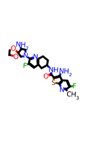 Cc1nc2sc(C(=O)NC3CCc4nc(N5CC(N)C6(C5)OCCO6)c(F)cc4C3)c(N)c2cc1F